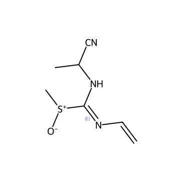 C=C/N=C(\NC(C)C#N)[S+](C)[O-]